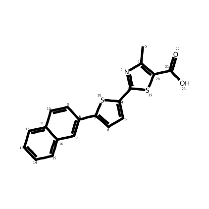 Cc1nc(-c2ccc(-c3ccc4ccccc4c3)s2)sc1C(=O)O